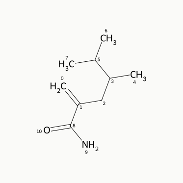 C=C(CC(C)C(C)C)C(N)=O